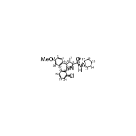 COc1ccc(C2C(C)C(C(=O)NN3CCCCC3)=NN2c2ccccc2Cl)cc1